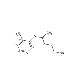 CC(CCCS)Cc1ccccc1[SiH3]